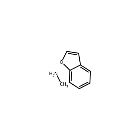 CN.c1ccc2occc2c1